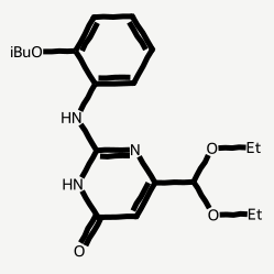 CCOC(OCC)c1cc(=O)[nH]c(Nc2ccccc2OCC(C)C)n1